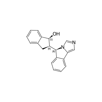 O[C@@H]1c2ccccc2C[C@@H]1[C@@H]1c2ccccc2-c2cncn21